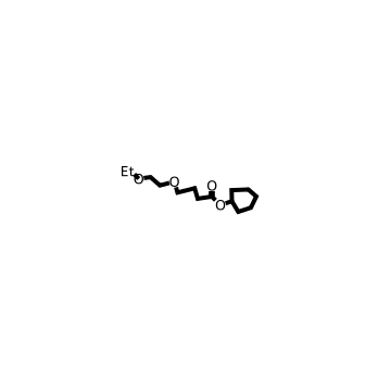 CCOCCOCCCC(=O)OC1CCCCC1